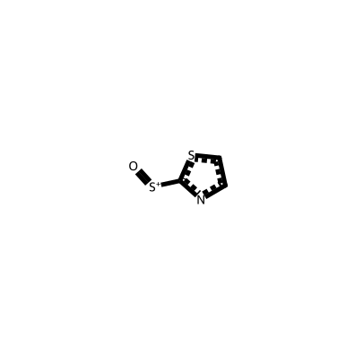 O=[S+]c1nccs1